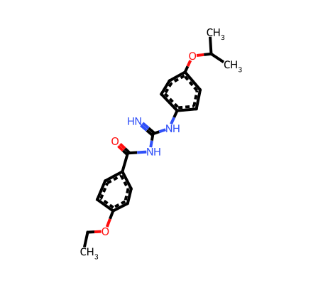 CCOc1ccc(C(=O)NC(=N)Nc2ccc(OC(C)C)cc2)cc1